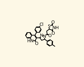 Cc1ccc(C2CC(c3c(-c4ccc(Cl)cc4)c4ccccc4[nH]c3=O)=NN2C(=O)CC2SC(=O)NC2=O)cc1